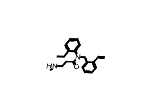 C=Cc1ccccc1CN(C(=O)CCNC)c1ccccc1CC